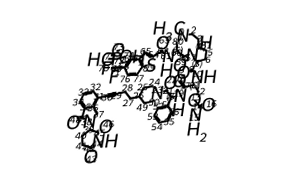 CN1CC[C@H]2CC[C@@H](C(=O)N[C@@H](COC(N)=O)C(=O)N[C@H](C(=O)N3CCC(CCC#Cc4cccc5c4CN(C4CCC(=O)NC4=O)C5=O)CC3)c3ccccc3)N2C(=O)[C@@H](NC(=O)c2cc3cc(C(F)(F)P(=O)(O)O)ccc3s2)C1